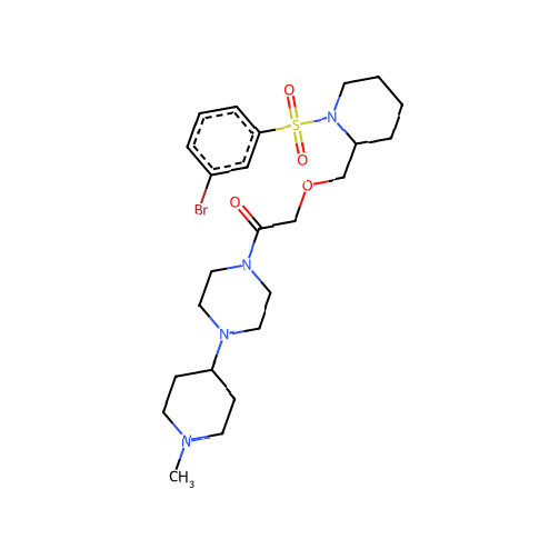 CN1CCC(N2CCN(C(=O)COCC3CCCCN3S(=O)(=O)c3cccc(Br)c3)CC2)CC1